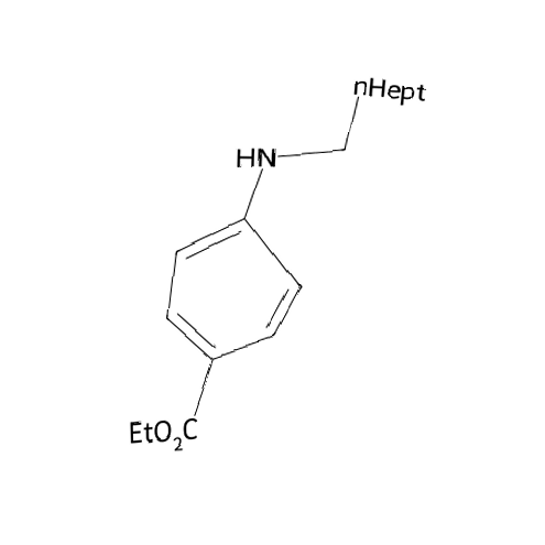 CCCCCCCCNc1ccc(C(=O)OCC)cc1